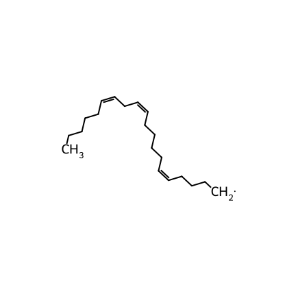 [CH2]CCC/C=C\CCCC/C=C\C/C=C\CCCCC